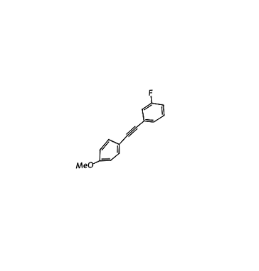 COc1ccc(C#Cc2cccc(F)c2)cc1